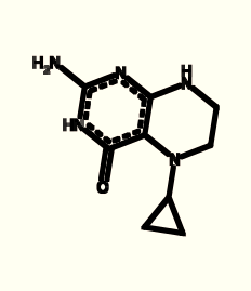 Nc1nc2c(c(=O)[nH]1)N(C1CC1)CCN2